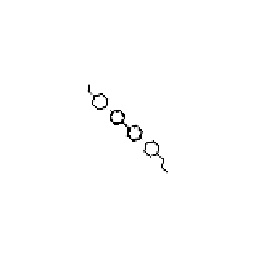 CCC[C@H]1CC[C@H](c2ccc(-c3ccc([C@H]4CC[C@H](CC)CC4)cc3)cc2)CC1